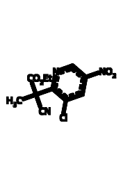 CCOC(=O)C(C)(C#N)c1ncc([N+](=O)[O-])cc1Cl